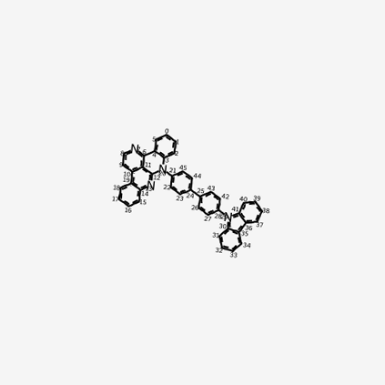 c1ccc2c(c1)-c1nccc3c1c(nc1ccccc13)N2c1ccc(-c2ccc(-n3c4ccccc4c4ccccc43)cc2)cc1